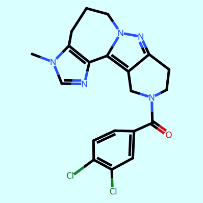 Cn1cnc2c1CCCn1nc3c(c1-2)CN(C(=O)c1ccc(Cl)c(Cl)c1)CC3